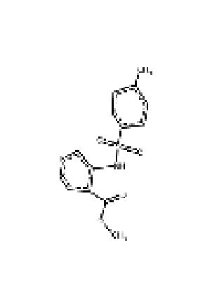 COC(=O)c1ccncc1NS(=O)(=O)c1ccc(C)cc1